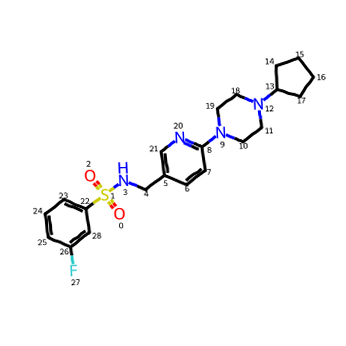 O=S(=O)(NCc1ccc(N2CCN(C3CCCC3)CC2)nc1)c1cccc(F)c1